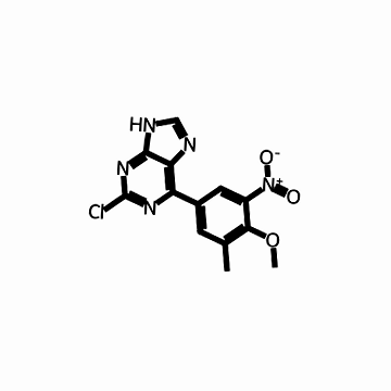 COc1c(C)cc(-c2nc(Cl)nc3[nH]cnc23)cc1[N+](=O)[O-]